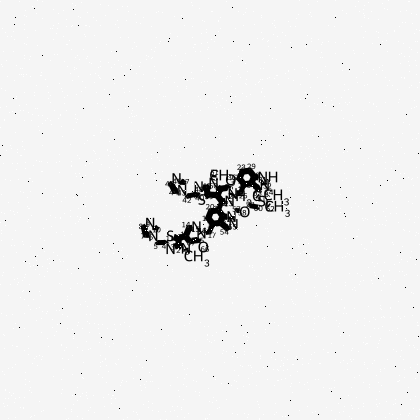 Cn1c2nc(Cn3ccnc3)sc2c2cnn(Cc3ccc(-c4nn(Cc5cccc6[nH]ncc56)c(=O)c5c4c4sc(Cn6ccnc6)nc4n5C)c4c3cnn4COCC[Si](C)(C)C)c(=O)c21